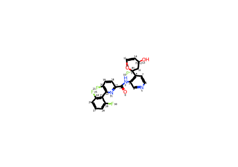 O=C(Nc1cnccc1[C@]1(F)C[C@H](O)C=CO1)c1ccc(F)c(-c2c(F)cccc2F)n1